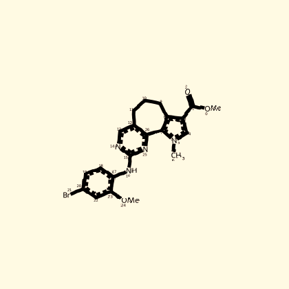 COC(=O)c1cn(C)c2c1CCCc1cnc(Nc3ccc(Br)cc3OC)nc1-2